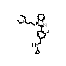 CCN(CC)CCCn1c(-c2ccc(CNC3CC3)cc2F)nc2ccccc21